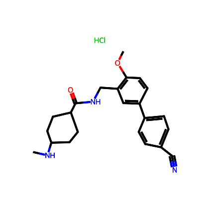 CNC1CCC(C(=O)NCc2cc(-c3ccc(C#N)cc3)ccc2OC)CC1.Cl